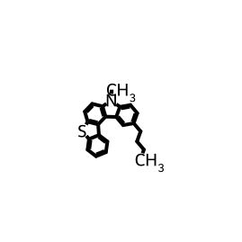 CCCCc1ccc2c(c1)c1c3c(ccc1n2C)sc1ccccc13